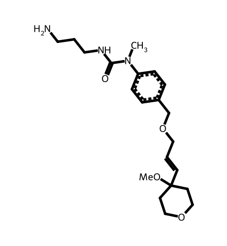 COC1(C=CCOCc2ccc(N(C)C(=O)NCCCN)cc2)CCOCC1